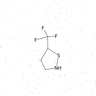 FC(F)(F)C1[CH]CNS1